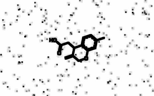 C=C1COc2cc(C)ccc2C1CC(=O)O